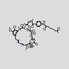 COc1cc2cc(c1Cl)N(C)C(=O)C[C@H](OC(=O)[C@H](C)N(C)C(=O)c1ccc(NC(=O)CCCCC(C)=O)cc1)[C@]1(C)O[C@H]1[C@H](C)[C@@H]1C[C@@](O)(NC(=O)O1)[C@H](OC)/C=C/C=C(\C)C2